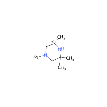 CC(C)N1C[C@H](C)NC(C)(C)C1